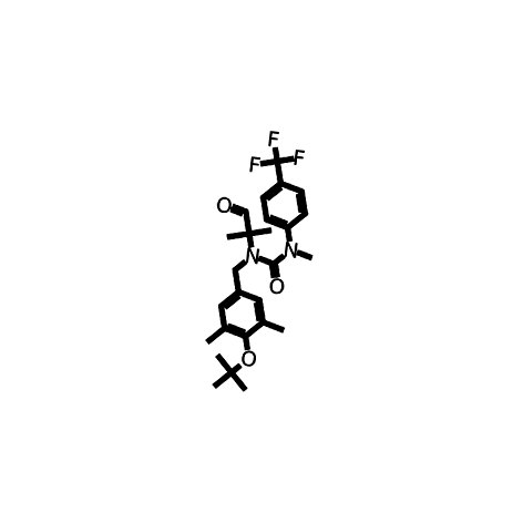 Cc1cc(CN(C(=O)N(C)c2ccc(C(F)(F)F)cc2)C(C)(C)C=O)cc(C)c1OC(C)(C)C